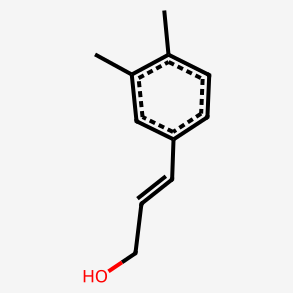 Cc1ccc(C=CCO)cc1C